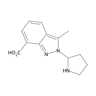 Cc1c2cccc(C(=O)O)c2nn1C1CCCN1